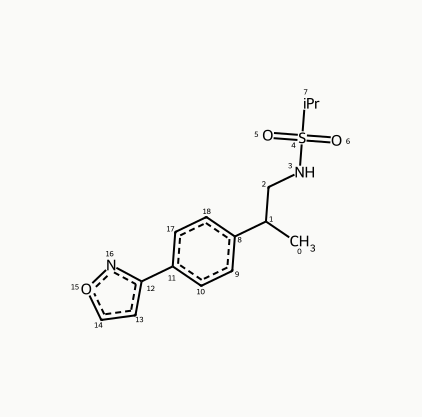 CC(CNS(=O)(=O)C(C)C)c1ccc(-c2ccon2)cc1